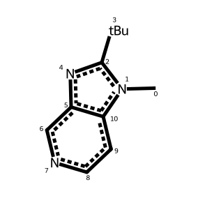 Cn1c(C(C)(C)C)nc2cnccc21